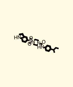 CCC(C)c1ccc(NC(=O)N2CCN(S(=O)(=O)c3ccc4[nH]ccc4c3)CC2)cc1